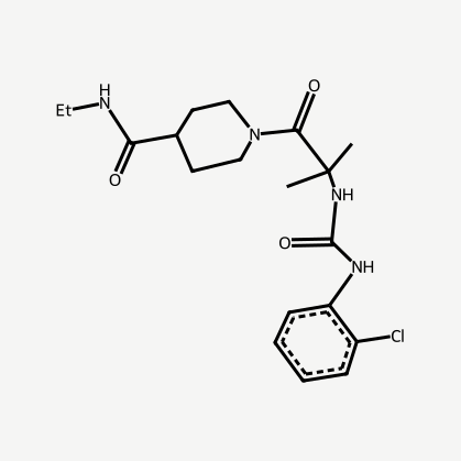 CCNC(=O)C1CCN(C(=O)C(C)(C)NC(=O)Nc2ccccc2Cl)CC1